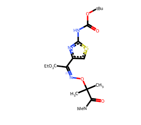 CCOC(=O)/C(=N/OC(C)(C)C(=O)NC)c1csc(NC(=O)OC(C)(C)C)n1